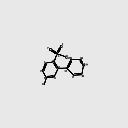 Cc1ccc(S(=O)(=O)Cl)c(-c2ccncc2)c1